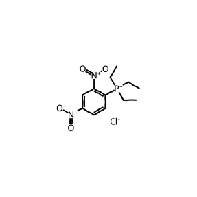 CC[P+](CC)(CC)c1ccc([N+](=O)[O-])cc1[N+](=O)[O-].[Cl-]